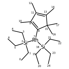 CC[Si](CC)(CC)[Rh]([C]1=C(C)C(C)=C(C)C1(C)C)[Si](CC)(CC)CC